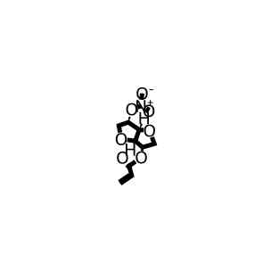 C=CC(=O)O[C@@H]1CO[C@H]2[C@@H]1OC[C@@H]2O[N+](=O)[O-]